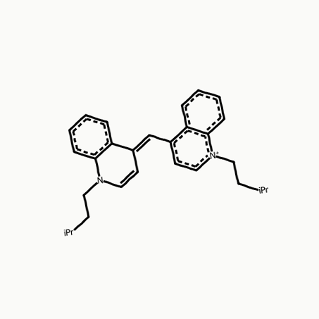 CC(C)CCN1C=C/C(=C\c2cc[n+](CCC(C)C)c3ccccc23)c2ccccc21